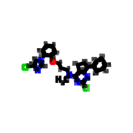 CN(CCCOc1ccccc1-n1cnc(Cl)c1)c1nc(Cl)nc2c1CCC2c1ccccc1